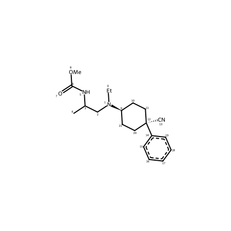 CCN(CC(C)NC(=O)OC)[C@H]1CC[C@@](C#N)(c2ccccc2)CC1